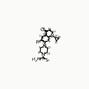 NC(=S)N1CCN(c2cc3c(cc2F)c(=O)ccn3C2CC2)CC1